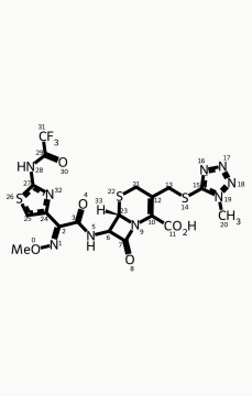 CON=C(C(=O)NC1C(=O)N2C(C(=O)O)=C(CSc3nnnn3C)CS[C@@H]12)c1csc(NC(=O)C(F)(F)F)n1